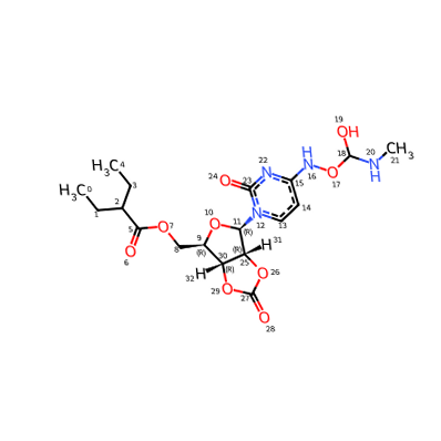 CCC(CC)C(=O)OC[C@H]1O[C@@H](n2ccc(NOC(O)NC)nc2=O)[C@@H]2OC(=O)O[C@@H]21